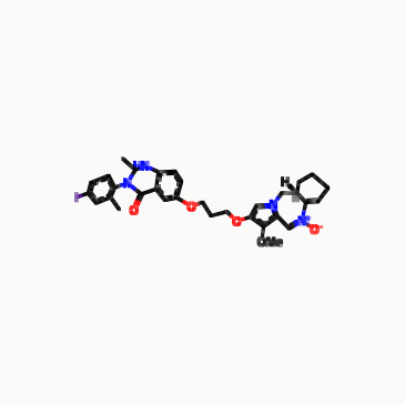 COc1c(OCCCOc2ccc3c(c2)C(=O)N(c2ccc(I)cc2C)C(C)N3)cn2c1C=[N+]([O-])C1=CCCC[C@H]1C2